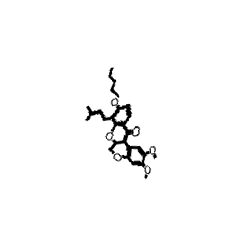 CCCCCOc1ccc2c(c1CC=C(C)C)OC1COc3cc(OC)c(OC)cc3C1C2=O